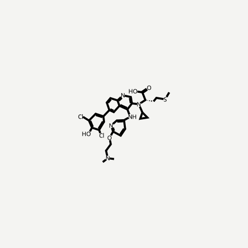 CSCC[C@@H](C(=O)O)N(c1cnc2ccc(-c3cc(Cl)c(O)c(Cl)c3)cc2c1Nc1ccc(OCCN(C)C)nc1)C1CC1